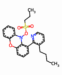 CCCCc1cccnc1-c1cccc2c1N(OS(=O)(=O)CCC)c1ccccc1O2